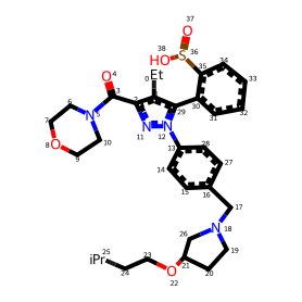 CCc1c(C(=O)N2CCOCC2)nn(-c2ccc(CN3CCC(OCCC(C)C)C3)cc2)c1-c1ccccc1S(=O)O